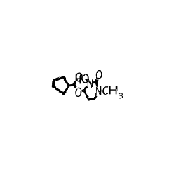 CN1CCC(OC(=O)C2CCCC2)N(O)C1=O